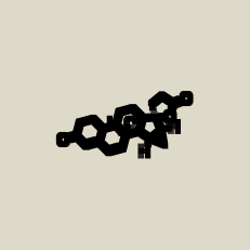 C[C@]12CCC3C4CCC(=O)C=C4C=CC3C1[C@H]1C[C@H]1[C@@]21CCC(=O)O1